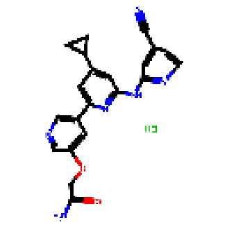 Cl.N#Cc1ccnc(Nc2cc(C3CC3)cc(-c3cncc(OCC(N)=O)c3)n2)c1